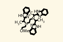 COCCN(CCN(C(C)c1nc2ccccc2[nH]1)C(C)c1nc2ccccc2[nH]1)C(C)c1nc2ccccc2[nH]1